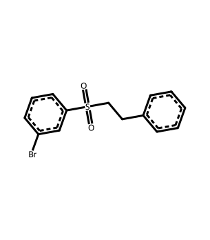 O=S(=O)(CCc1ccccc1)c1cccc(Br)c1